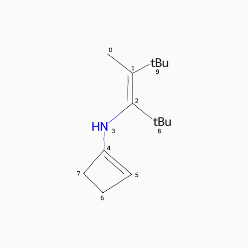 C/C(=C(\NC1=CCC1)C(C)(C)C)C(C)(C)C